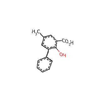 Cc1cc(C(=O)O)c(O)c(-c2ccccc2)c1